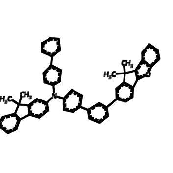 CC1(C)c2ccccc2-c2ccc(N(c3ccc(-c4ccccc4)cc3)c3ccc(-c4cccc(-c5ccc6c(c5)C(C)(C)c5c-6oc6ccccc56)c4)cc3)cc21